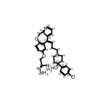 N/N=C(\N)COc1ccc2c(c1)C(=CCCN1CCC(O)(c3ccc(Cl)cc3)CC1)c1cccnc1CO2